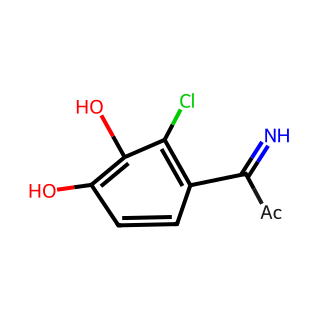 CC(=O)C(=N)c1ccc(O)c(O)c1Cl